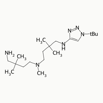 CN(CCC(C)(C)CN)CCC(C)(C)CNc1cn(C(C)(C)C)nn1